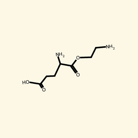 NCCOC(=O)C(N)CCC(=O)O